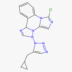 Clc1ncc2n1-c1ccccc1C1N=CN(n3nncc3CC3CC3)N21